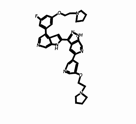 Fc1cc(OCCN2CCCC2)cc(-c2cncc3[nH]c(-c4n[nH]c5cnc(-c6cncc(OCCN7CCCC7)c6)cc45)cc23)c1